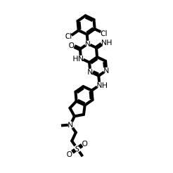 CN(CCS(C)(=O)=O)C1Cc2ccc(Nc3ncc4c(=N)n(-c5c(Cl)cccc5Cl)c(=O)[nH]c4n3)cc2C1